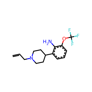 C=CCN1CCC(c2cccc(OC(F)(F)F)c2N)CC1